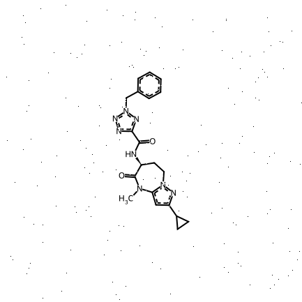 CN1C(=O)[C@@H](NC(=O)c2nnn(Cc3ccccc3)n2)CCn2nc(C3CC3)cc21